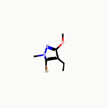 CCc1c(OC)nn(C)c1Br